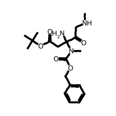 CNCC(=O)C(N)(CC(=O)OC(C)(C)C)N(C)C(=O)OCc1ccccc1